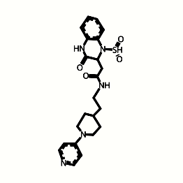 O=C(CC1C(=O)Nc2ccccc2N1[SH](=O)=O)NCCC1CCN(c2ccncc2)CC1